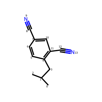 CC(C)Cc1ccc(C#N)cc1C#N